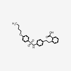 CCCCOc1ccc(S(=O)(=O)Nc2ccc(CCc3ccccc3C(=O)O)cc2)cc1